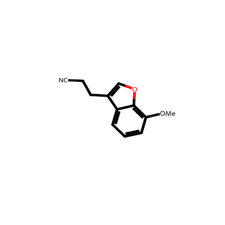 COc1cccc2c(CCC#N)coc12